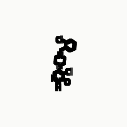 O=c1[nH]ncc(N2CCN(Cc3ccccc3Cl)CC2)c1Cl